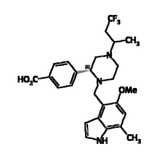 COc1cc(C)c2[nH]ccc2c1CN1CCN(C(C)CC(F)(F)F)C[C@H]1c1ccc(C(=O)O)cc1